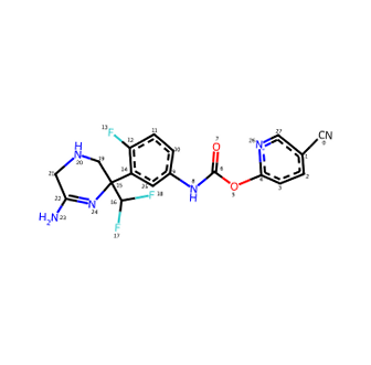 N#Cc1ccc(OC(=O)Nc2ccc(F)c(C3(C(F)F)CNCC(N)=N3)c2)nc1